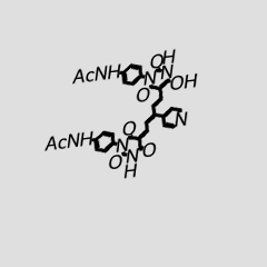 CC(=O)Nc1ccc(N2C(=O)NC(=O)C(=CC=C(C=Cc3c(O)[nH]c(=O)n(-c4ccc(NC(C)=O)cc4)c3=O)c3ccncc3)C2=O)cc1